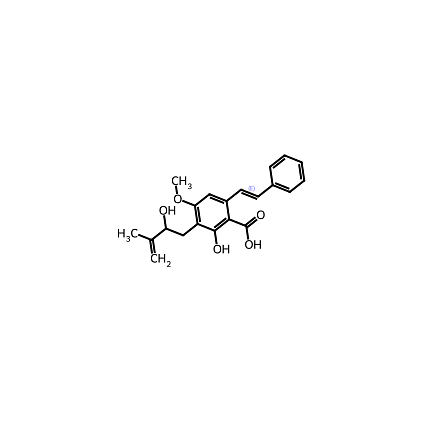 C=C(C)C(O)Cc1c(OC)cc(/C=C/c2ccccc2)c(C(=O)O)c1O